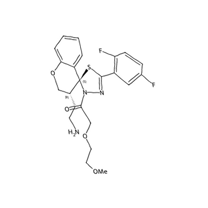 COCCOCC(=O)N1N=C(c2cc(F)ccc2F)S[C@@]12c1ccccc1OC[C@H]2CCN